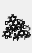 CN(C(=O)C(C)(C)c1cc(C(F)(F)F)cc(C(F)(F)F)c1)c1cnc([N+]2([O-])CCOCC2)cc1-c1ccccc1Cl